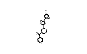 O=C(c1ccncc1)N1CCC[C@H](c2noc(-c3cc(Cl)c[nH]3)n2)C1